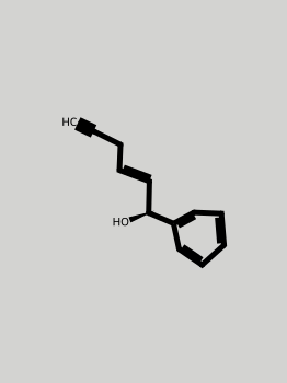 C#CC/C=C/[C@H](O)c1ccccc1